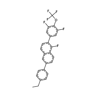 CCc1ccc(-c2ccc3c(F)c(-c4cc(F)c(OC(F)(F)F)c(F)c4)ccc3c2)cc1